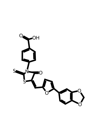 O=C(O)c1ccc(N2C(=O)C(=Cc3ccc(-c4ccc5c(c4)OCO5)o3)SC2=S)cc1